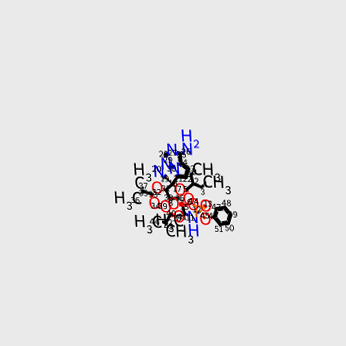 CCC(CC)COC(=O)[C@H](C)NP(=O)(OC[C@H]1O[C@@](C#N)(c2ccc3c(N)ncnn23)[C@H](OC(=O)C(C)C)[C@@H]1OC(=O)C(C)C)Oc1ccccc1